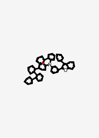 c1ccc(-c2ccccc2-c2ccccc2-c2ccc(N(c3cccc(-c4oc5ccccc5c4-c4ccccc4)c3)c3ccccc3-c3ccccc3)cc2)cc1